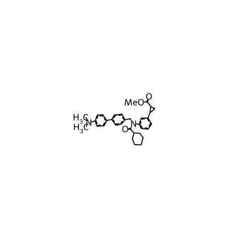 COC(=O)C1CC1c1cccc(N(Cc2ccc(-c3ccc(N(C)C)cc3)cc2)C(=O)C2CCCCC2)c1